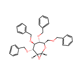 c1ccc(COC[C@H]2O[C@@H]3O[C@@H]3[C@H](OCc3ccccc3)[C@@H](OCc3ccccc3)[C@@H]2OCc2ccccc2)cc1